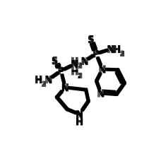 NP(N)(=S)N1C=CC=NC1.NP(N)(=S)N1CCNCC1